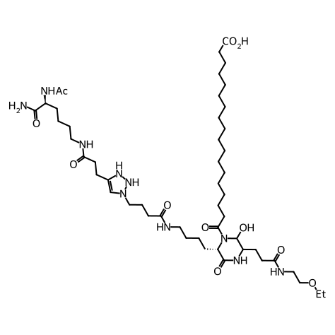 CCOCCNC(=O)CCC1NC(=O)[C@H](CCCCNC(=O)CCCN2C=C(CCC(=O)NCCCC[C@H](NC(C)=O)C(N)=O)NN2)N(C(=O)CCCCCCCCCCCCCCCCC(=O)O)C1O